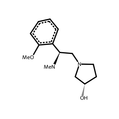 CN[C@H](CN1CC[C@H](O)C1)c1ccccc1OC